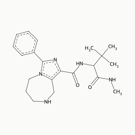 CNC(=O)C(NC(=O)c1nc(-c2ccccc2)n2c1CNCCC2)C(C)(C)C